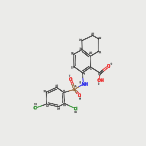 O=C(O)c1c(NS(=O)(=O)c2ccc(Cl)cc2Cl)ccc2c1CCCC2